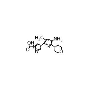 Cc1cc(N)c(C2CCOCC2)nc1-c1cnn(C(=O)O)c1